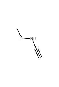 C#CNSC